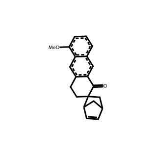 COc1cccc2cc3c(cc12)CCC1(CC2C=CC1C2)C3=O